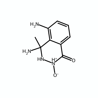 CC1(N)N[NH+]([O-])C(=O)c2cccc(N)c21